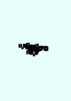 N=NC1=NC(N=NN)=C(Cl)NC1C(=O)NC1NC2(CCN(CC3CCCCC3)CC2)CN1N